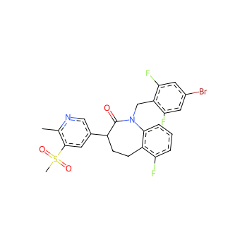 Cc1ncc(C2CCc3c(F)cccc3N(Cc3c(F)cc(Br)cc3F)C2=O)cc1S(C)(=O)=O